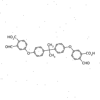 CC(C)(c1ccc(Oc2ccc(C(=O)O)c(C=O)c2)cc1)c1ccc(Oc2ccc(C=O)c(C(=O)O)c2)cc1